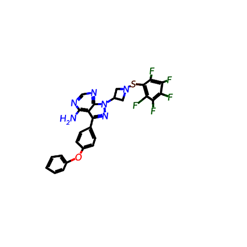 Nc1ncnc2c1c(-c1ccc(Oc3ccccc3)cc1)nn2C1CN(Sc2c(F)c(F)c(F)c(F)c2F)C1